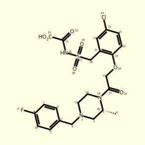 C[C@@H]1CN(Cc2ccc(F)cc2)CCN1C(=O)COc1ccc(Cl)cc1CS(=O)(=O)NC(=O)C(=O)O